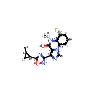 CCC(C)n1c(=O)c2c(-c3noc(C4CC4C)n3)ncn2c2cccc(F)c21